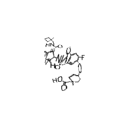 COc1cc(F)c(OC2CCC(C)(C(=O)O)CC2)cc1C(=O)NC1[C@@H]2CC2[C@@H](C)[C@@H]1C(=O)NCC1(C)CCC1